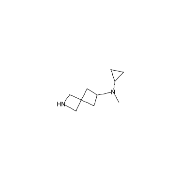 CN(C1CC1)C1CC2(CNC2)C1